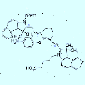 CCCCCN1/C(=C/C=C2\CCCC(/C=C/C3=[N+](CCCCS(=O)(=O)O)c4ccc5ccccc5c4C3(C)C)=C2Sc2ccc(N)cc2)C(C)(C)c2c1ccc1ccccc21